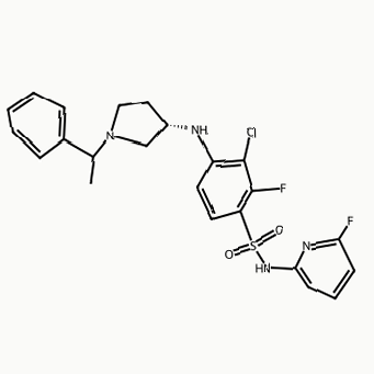 CC(c1ccccc1)N1CC[C@H](Nc2ccc(S(=O)(=O)Nc3cccc(F)n3)c(F)c2Cl)C1